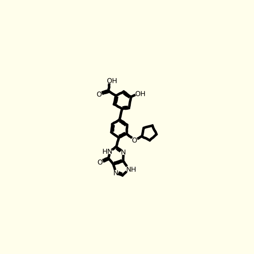 O=C(O)c1cc(O)cc(-c2ccc(-c3nc4[nH]cnc4c(=O)[nH]3)c(OC3CCCC3)c2)c1